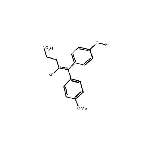 CCOc1ccc(C(=C(C#N)CCC(=O)O)c2ccc(OC)cc2)cc1